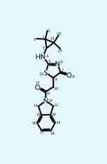 CC1(C)C(NC2=NC(=O)C(CC(=O)N3Cc4ccccc4C3)S2)C1(C)C